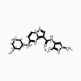 Cn1cc(NC(=O)c2cnn3ccc(N[C@@H]4CNC[C@H](F)C4)nc23)c(C(F)(F)F)n1